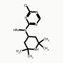 CCCCN(c1ncnc(Cl)n1)C1CC(C)(C)NC(C)(C)C1